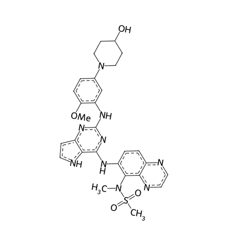 COc1ccc(N2CCC(O)CC2)cc1Nc1nc(Nc2ccc3nccnc3c2N(C)S(C)(=O)=O)c2[nH]ccc2n1